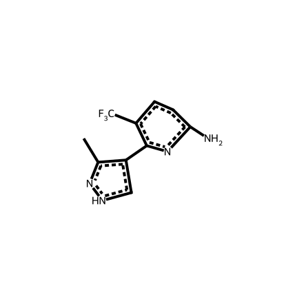 Cc1n[nH]cc1-c1nc(N)ccc1C(F)(F)F